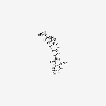 CCCNC(=O)NS(=O)(=O)N1CCC(CCNC(=O)c2cc(Cl)ccc2OC)CC1